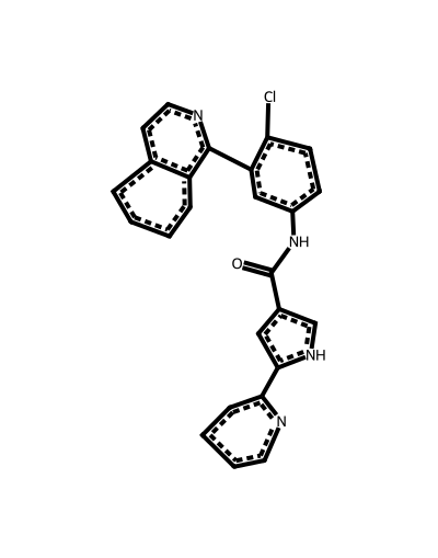 O=C(Nc1ccc(Cl)c(-c2nccc3ccccc23)c1)c1c[nH]c(-c2ccccn2)c1